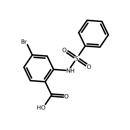 O=C(O)c1ccc(Br)cc1NS(=O)(=O)c1ccccc1